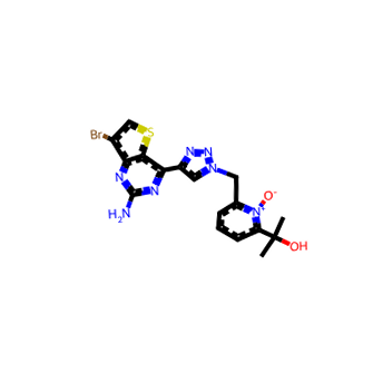 CC(C)(O)c1cccc(Cn2cc(-c3nc(N)nc4c(Br)csc34)nn2)[n+]1[O-]